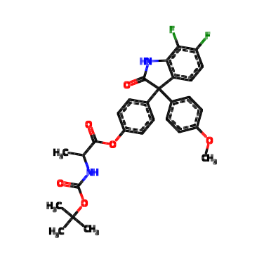 COc1ccc(C2(c3ccc(OC(=O)C(C)NC(=O)OC(C)(C)C)cc3)C(=O)Nc3c2ccc(F)c3F)cc1